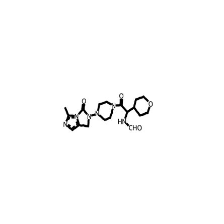 Cc1ncc2n1C(=O)N(N1CCN(C(=O)C(NC=O)C3CCOCC3)CC1)C2